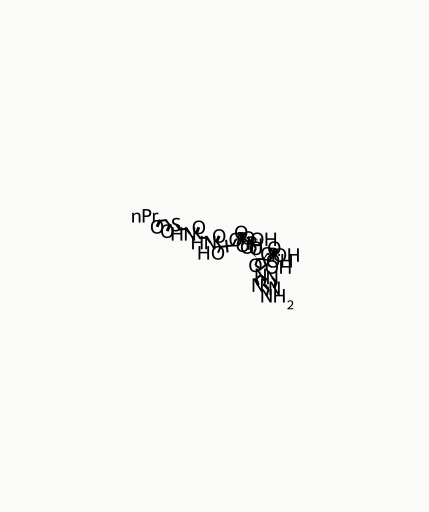 CCCC(=O)CC(=O)SCCNC(=O)CCNC(=O)C(O)C(C)(C)COP(=O)(O)OP(=O)(O)OC[C@H]1O[C@@H](n2cnc3c(N)ncnc32)[C@H](O)[C@@H]1OP(=O)(O)O